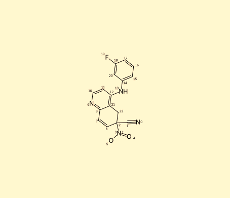 N#CC1([N+](=O)[O-])C=Cc2nccc(Nc3cccc(F)c3)c2C1